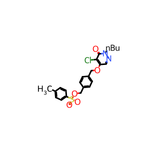 CCCCn1ncc(OCc2ccc(COS(=O)(=O)c3ccc(C)cc3)cc2)c(Cl)c1=O